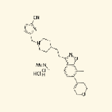 CNC.Cc1c(C2=CCOCC2)ccc2c(CCC3CCN(Cc4ccc(C#N)s4)CC3)noc12.Cl.Cl